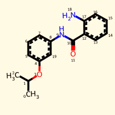 CC(C)Oc1cccc(NC(=O)c2ccccc2N)c1